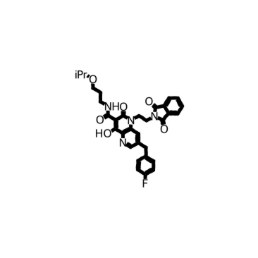 CC(C)OCCCNC(=O)c1c(O)c2ncc(Cc3ccc(F)cc3)cc2n(CCN2C(=O)c3ccccc3C2=O)c1=O